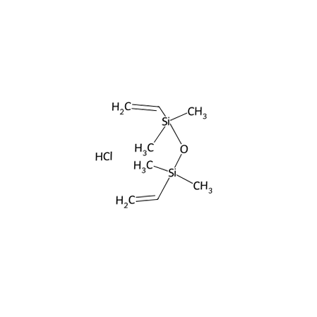 C=C[Si](C)(C)O[Si](C)(C)C=C.Cl